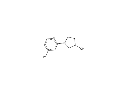 CC(C)c1ccnc(N2CCC(O)C2)c1